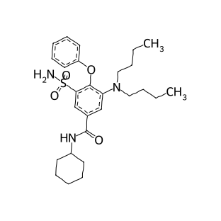 CCCCN(CCCC)c1cc(C(=O)NC2CCCCC2)cc(S(N)(=O)=O)c1Oc1ccccc1